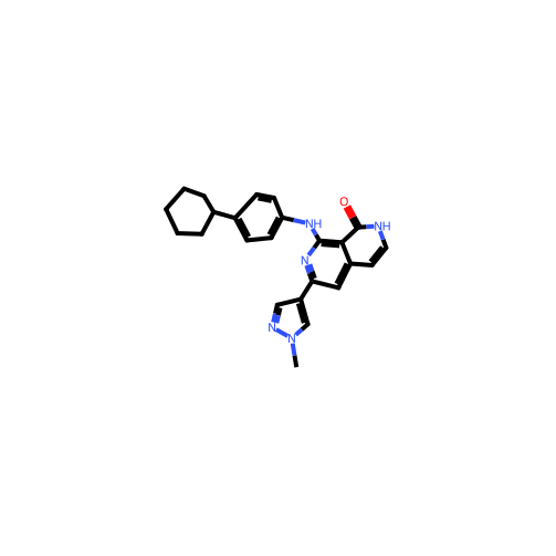 Cn1cc(-c2cc3cc[nH]c(=O)c3c(Nc3ccc(C4CCCCC4)cc3)n2)cn1